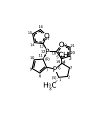 C[C@H]1CC[C@H](C)P1C1=CC=C[C@H]1P(c1ccco1)c1ccco1